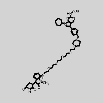 CCCCNc1ncc2c(-c3ccc(CN4CCN(CCOCCOCCOCCOCCNc5cccc6c5N(C)C(=O)C6C5CCC(=O)NC5=O)CC4)cc3)cn(C3CCCCC3)c2n1